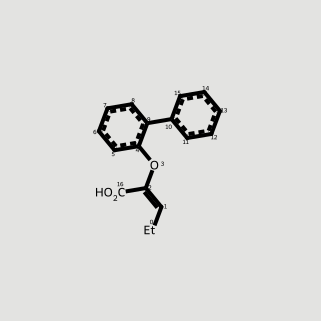 CC/C=C(/Oc1ccccc1-c1ccccc1)C(=O)O